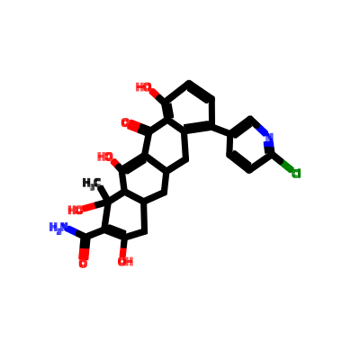 CC1(O)C(C(N)=O)=C(O)CC2CC3Cc4c(-c5ccc(Cl)nc5)ccc(O)c4C(=O)C3=C(O)C21